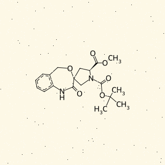 COC(=O)[C@@H]1CC2(CN1C(=O)OC(C)(C)C)OCc1ccccc1NC2=O